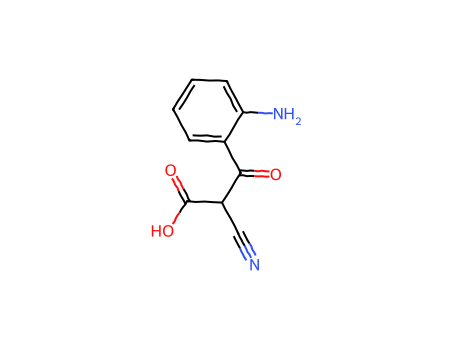 N#CC(C(=O)O)C(=O)c1ccccc1N